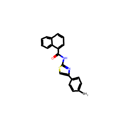 Bc1ccc(-c2csc(NC(=O)c3cccc4ccccc34)n2)cc1